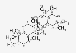 C[C@H]1CC[C@@]2(C)C(CC[C@]3(C)C2CC=C2C4CC(C)(C)CC[C@]4(C(=O)O)CC[C@]23C)C1(C)C